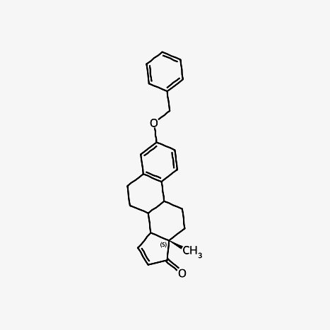 C[C@]12CCC3c4ccc(OCc5ccccc5)cc4CCC3C1C=CC2=O